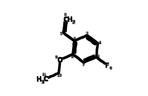 C=Cc1ccc(F)cc1OCC